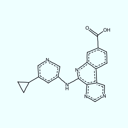 O=C(O)c1ccc2c(c1)nc(Nc1cncc(C3CC3)c1)c1ncncc12